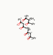 CC(C)C(=O)CC(=O)C(C)C.CC(C)C(=O)CC(=O)C(C)C.CC(C)C(=O)CC(=O)C(C)C.[AlH3]